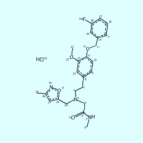 CNC(=O)CN(CCc1ccc(OCc2cccc(F)c2)c(OC)c1)Cc1cc(C)no1.Cl